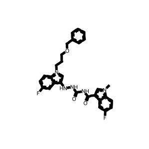 Cn1cc(C(=O)NC(=O)NNc2cn(CCCOCc3ccccc3)c3ccc(F)cc23)c2cc(F)ccc21